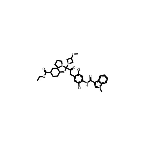 CCOC(=O)C1CCC(OC(C(=O)Cc2cc(Cl)c(NC(=O)c3cn(C)c4ccccc34)cc2Cl)(N2CCCC2)N2CC(OC)C2)CC1